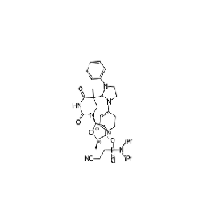 CC(C)N(C(C)C)[PH](Cl)(CCC#N)O[C@H]1C[C@H](N2CC(C)(C3N(c4ccccc4)CCN3c3ccccc3)C(=O)NC2=O)O[C@@H]1C